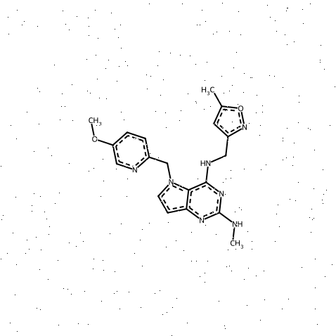 CNc1nc(NCc2cc(C)on2)c2c(ccn2Cc2ccc(OC)cn2)n1